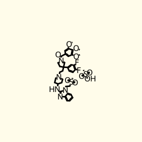 COc1cc(C(=O)N2CCC(CCN3CCC(Nc4nc5ccccc5n4CCS(C)(=O)=O)CC3)(c3ccc(F)c(F)c3)C2)cc(OC)c1OC.CS(=O)(=O)O